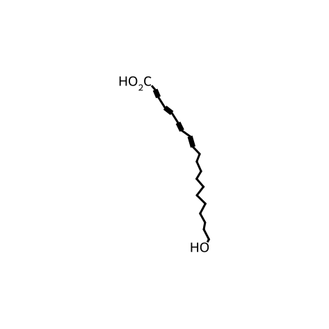 O=C(O)C#CC#CC#CC#CCCCCCCCCCCCO